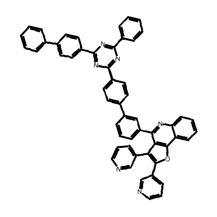 c1ccc(-c2ccc(-c3nc(-c4ccccc4)nc(-c4ccc(-c5cccc(-c6nc7ccccc7c7oc(-c8cccnc8)c(-c8cccnc8)c67)c5)cc4)n3)cc2)cc1